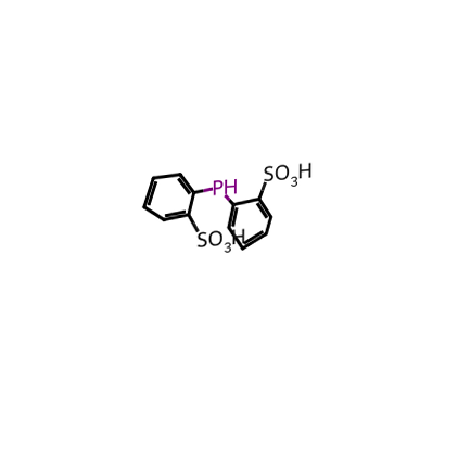 O=S(=O)(O)c1ccccc1Pc1ccccc1S(=O)(=O)O